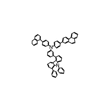 C1=Cc2c(cccc2-c2ccc(N(c3ccc(-c4ccc5c(ccc6ccccc65)c4)cc3)c3cccc(-c4cccc5c4c4cccc(-c6ccccc6)c4n5-c4ccccc4)c3)cc2)CC1